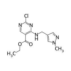 CCOC(=O)c1cnc(Cl)nc1NCc1cnn(C)c1